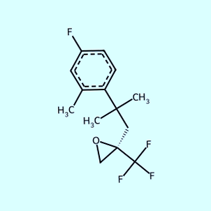 Cc1cc(F)ccc1C(C)(C)C[C@]1(C(F)(F)F)CO1